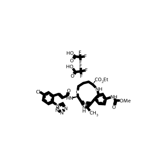 CCOC(=O)[C@H]1CCCC[C@H](NC(=O)/C=C/c2cc(Cl)ccc2-n2cnnn2)c2nc(c(C)[nH]2)-c2ccc(NC(=O)OC)cc2N1.O=C(O)C(F)(F)F.O=C(O)C(F)(F)F